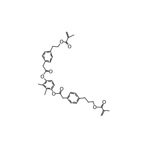 C=C(C)C(=O)OCCCc1ccc(CC(=O)Oc2ccc(OC(=O)Cc3ccc(CCOC(=O)C(=C)C)cc3)c(C)c2C)cc1